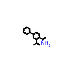 C=C(C)c1cc(-c2ccccc2)ccc1C(=C)N